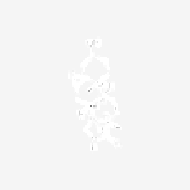 C[C@]12CC[C@@H]3[C@@H](CC4OC45CC(O)CC[C@]35C)[C@@H]1CNC2=O